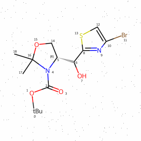 CC(C)(C)OC(=O)N1[C@@H](C(O)c2nc(Br)cs2)COC1(C)C